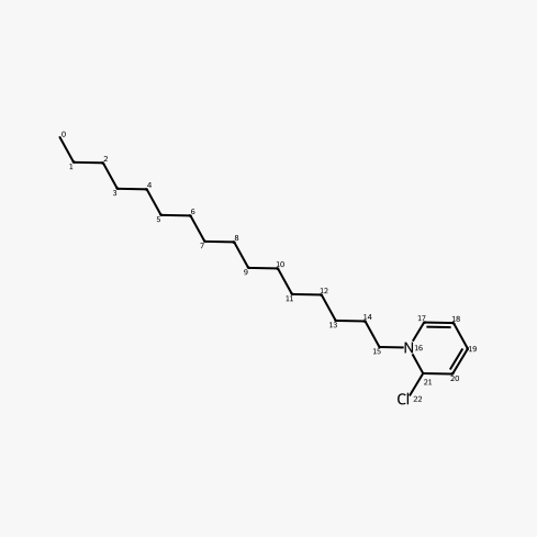 CCCCCCCCCCCCCCCCN1C=CC=CC1Cl